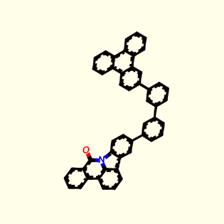 O=c1c2ccccc2c2cccc3c4cc(-c5cccc(-c6cccc(-c7ccc8c9ccccc9c9ccccc9c8c7)c6)c5)ccc4n1c23